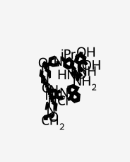 C=CC(=O)N1CCN(c2nc(OCCN3CCN(C(=O)C4CCN(Cc5ccc(N(C(=N)C(N)=O)C(=N)c6cc(C(C)C)c(O)cc6O)cc5)CC4)CC3)nc3c2CCN(c2cccc4cccc(Cl)c24)C3)CC1